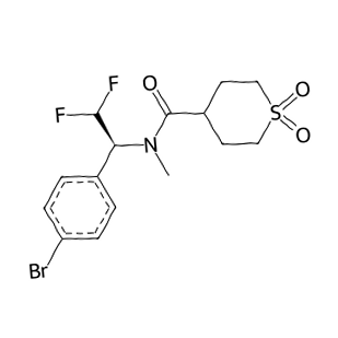 CN(C(=O)C1CCS(=O)(=O)CC1)[C@@H](c1ccc(Br)cc1)C(F)F